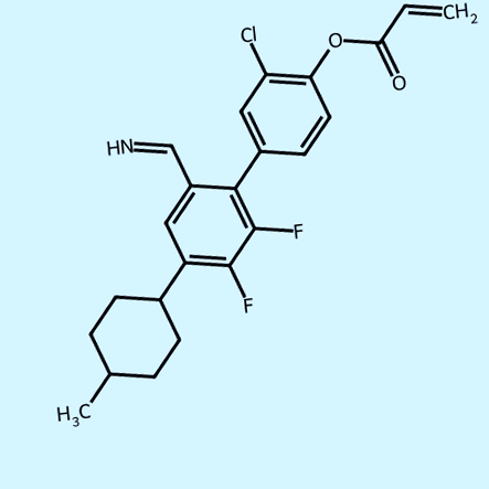 C=CC(=O)Oc1ccc(-c2c(C=N)cc(C3CCC(C)CC3)c(F)c2F)cc1Cl